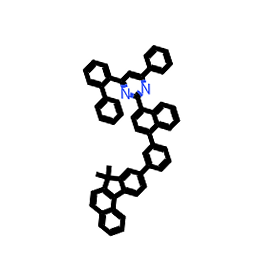 CC1(C)c2cc(-c3cccc(-c4ccc(-c5nc(-c6ccccc6)cc(-c6ccccc6-c6ccccc6)n5)c5ccccc45)c3)ccc2-c2c1ccc1ccccc21